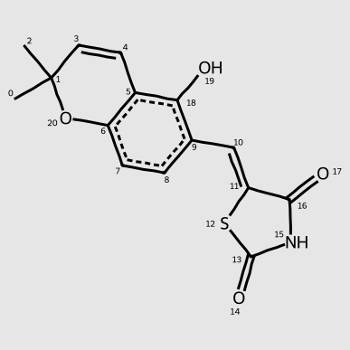 CC1(C)C=Cc2c(ccc(/C=C3\SC(=O)NC3=O)c2O)O1